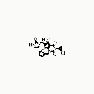 Cc1c(CN2CCNC2=O)sc2c1c(=O)n(C1CC1Cl)c(=O)n2CC1CCCO1